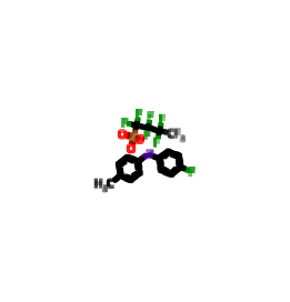 Cc1ccc([I+]c2ccc(F)cc2)cc1.O=S(=O)([O-])C(F)(F)C(F)(F)C(F)(F)C(F)(F)F